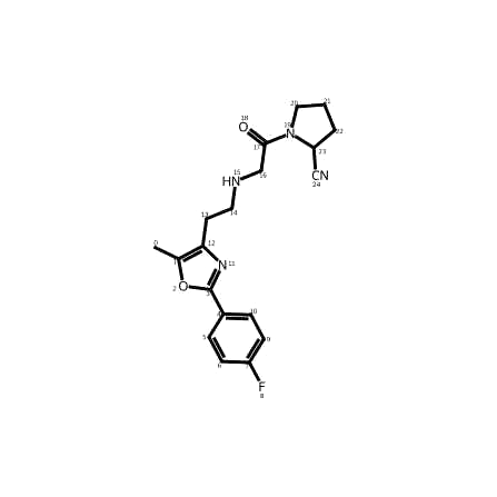 Cc1oc(-c2ccc(F)cc2)nc1CCNCC(=O)N1CCCC1C#N